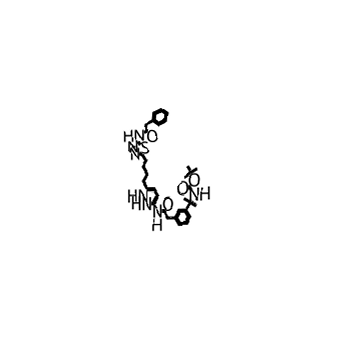 CC(C)(C)OC(=O)NC(C)(C)c1cccc(CC(=O)NC2=CC=C(CCCCc3nnc(NC(=O)Cc4ccccc4)s3)NN2)c1